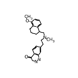 COc1cccc2c1CCCC2CN(C)CCc1ccc2c(c1)N=NCC2=O